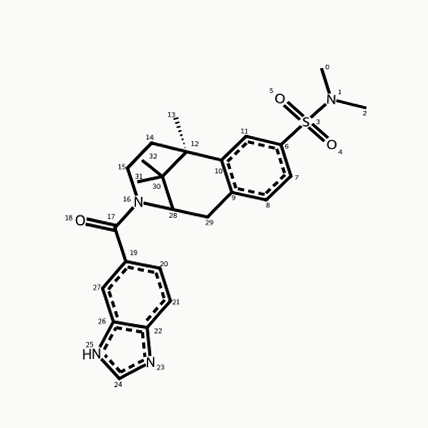 CN(C)S(=O)(=O)c1ccc2c(c1)[C@]1(C)CCN(C(=O)c3ccc4nc[nH]c4c3)C(C2)C1(C)C